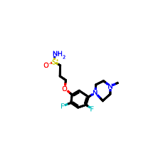 CN1CCN(c2cc(OCCC[S+](N)[O-])c(F)cc2F)CC1